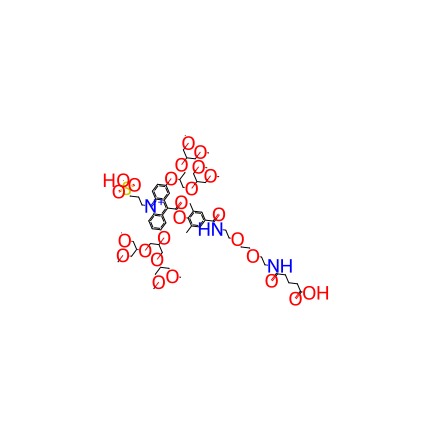 COCC(COC)OCC(COC(COC)COC)Oc1ccc2c(c1)c(C(=O)Oc1c(C)cc(C(=O)NCCOCCOCCNC(=O)CCCC(=O)O)cc1C)c1cc(OC(COC(COC)COC)COC(COC)COC)ccc1[n+]2CCCS(=O)(=O)O